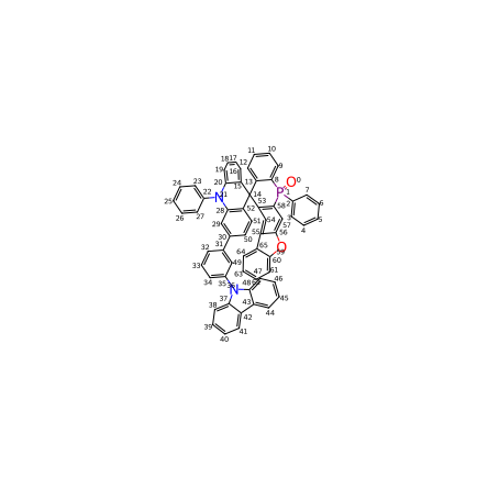 O=P1(c2ccccc2)c2ccccc2C2(c3ccccc3N(c3ccccc3)c3cc(-c4cccc(-n5c6ccccc6c6ccccc65)c4)ccc32)c2cc3c(cc21)oc1ccccc13